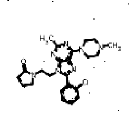 Cc1nc(N2CCN(C)CC2)c2nc(-c3ccccc3Cl)n(CCN3CCCC3=O)c2n1